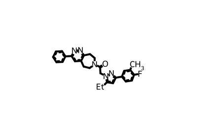 CCc1cc(-c2ccc(F)c(C)c2)nn1CC(=O)N1CCc2cc(-c3ccccc3)nnc2CC1